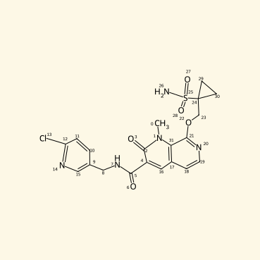 Cn1c(=O)c(C(=O)NCc2ccc(Cl)nc2)cc2ccnc(OCC3(S(N)(=O)=O)CC3)c21